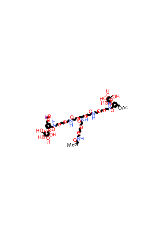 COCC(=O)NCCOCCOCCC(=O)NC(COCCC(=O)NCCOCCOCCNC(=O)c1cc(COC(C)=O)ccc1O[C@@H]1O[C@H](CO)[C@@H](O)[C@H](O)[C@H]1O)COCCC(=O)NCCOCCOCCNC(=O)c1cc(COC(=O)I)ccc1O[C@@H]1O[C@H](CO)[C@@H](O)[C@H](O)[C@H]1O